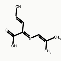 CC(C)=C/N=C(\C=N\O)C(=O)O